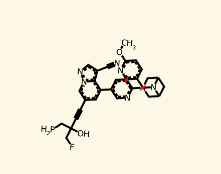 COc1ccc(CN2C3CC2CN(c2ccc(-c4cc(C#CC(O)(CF)CP)cn5ncc(C#N)c45)cn2)C3)cn1